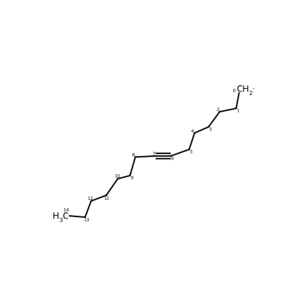 [CH2]CCCCCC#CCCCCCCC